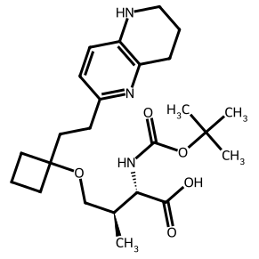 C[C@@H](COC1(CCc2ccc3c(n2)CCCN3)CCC1)[C@H](NC(=O)OC(C)(C)C)C(=O)O